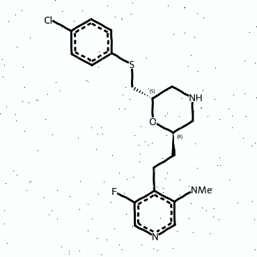 CNc1cncc(F)c1CC[C@@H]1CNC[C@@H](CSc2ccc(Cl)cc2)O1